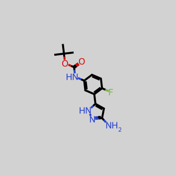 CC(C)(C)OC(=O)Nc1ccc(F)c(-c2cc(N)n[nH]2)c1